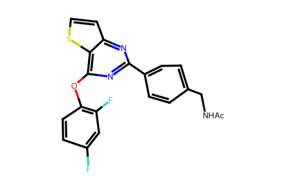 CC(=O)NCc1ccc(-c2nc(Oc3ccc(F)cc3F)c3sccc3n2)cc1